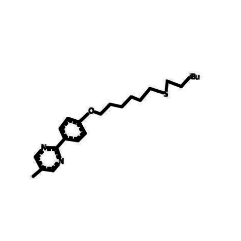 CCC(C)CCSCCCCCCOc1ccc(-c2ncc(C)cn2)cc1